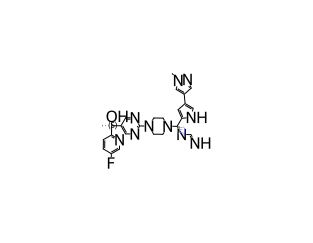 Cn1cc(-c2c[nH]c(/C(=N\C=N)N3CCN(c4ncc([C@](C)(O)c5ccc(F)cn5)cn4)CC3)c2)cn1